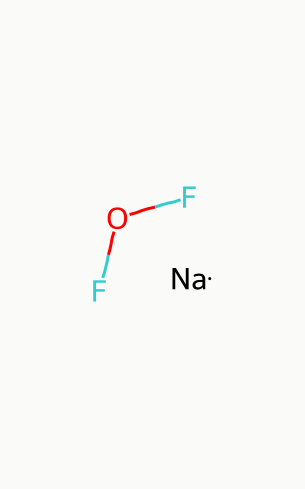 FOF.[Na]